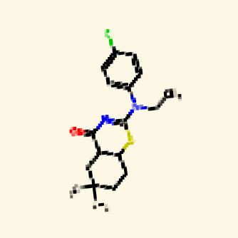 CCN(C1=NC(=O)C2CC(C)(C)CCC2S1)c1ccc(Cl)cc1